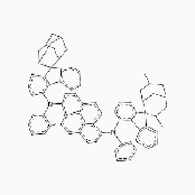 Cc1ccccc1N(c1cccc2c1-c1ccccc1C21C2CC3CC(C2)CC1C3)c1ccc2ccc3c(N(c4ccccc4)c4cccc5c4-c4ccccc4C54C(C)CC5CC(C)CC4C5)ccc4ccc1c2c43